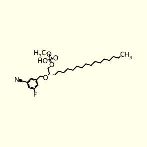 CCCCCCCCCCCCCCCC[C@@H](COP(=O)(O)OC)OCc1cc(F)cc(C#N)c1